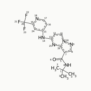 CC(C)(C)NC(=O)c1cnn2ccc(Nc3ccnc(C(F)(F)F)c3)nc12